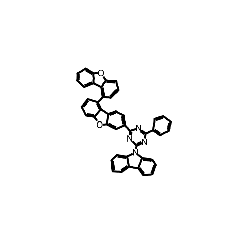 c1ccc(-c2nc(-c3ccc4c(c3)oc3cccc(-c5cccc6oc7ccccc7c56)c34)nc(-n3c4ccccc4c4ccccc43)n2)cc1